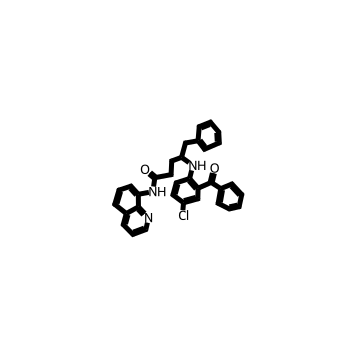 O=C(CCC(Cc1ccccc1)Nc1ccc(Cl)cc1C(=O)c1ccccc1)Nc1cccc2cccnc12